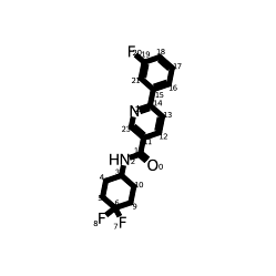 O=C(NC1CCC(F)(F)CC1)c1ccc(-c2cccc(F)c2)nc1